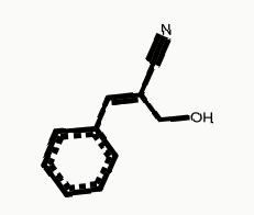 N#CC(=Cc1ccccc1)CO